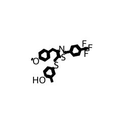 COc1ccc(Cc2nc(-c3ccc(C(F)(F)F)cc3)sc2CSc2ccc(O)c(C)c2)cc1